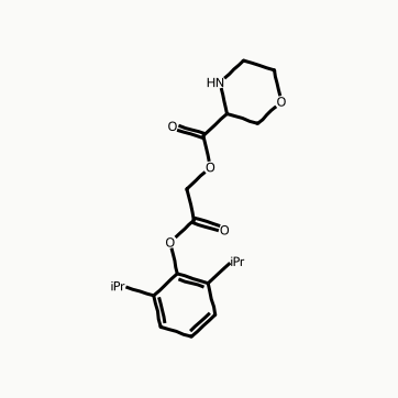 CC(C)c1cccc(C(C)C)c1OC(=O)COC(=O)C1COCCN1